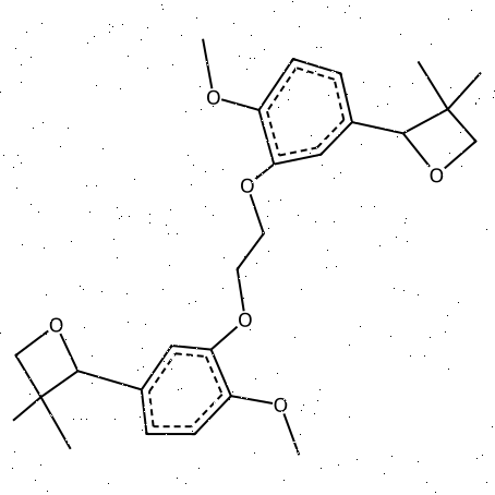 COc1ccc(C2OCC2(C)C)cc1OCCOc1cc(C2OCC2(C)C)ccc1OC